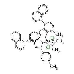 CC1=Cc2c(-c3cccc4ccccc34)ccc(C)c2[CH]1[Zr]([Cl])([Cl])([CH]1C(c2ccc(C)cc2)=Cc2c(-c3cccc4ccccc34)cccc21)[SiH](C)C